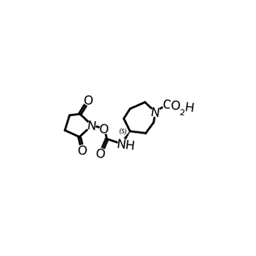 O=C(N[C@H]1CCCN(C(=O)O)CC1)ON1C(=O)CCC1=O